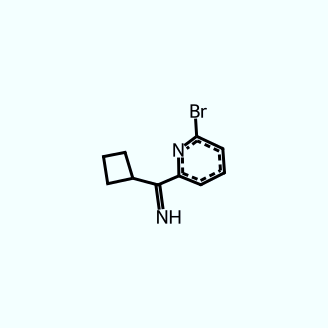 N=C(c1cccc(Br)n1)C1CCC1